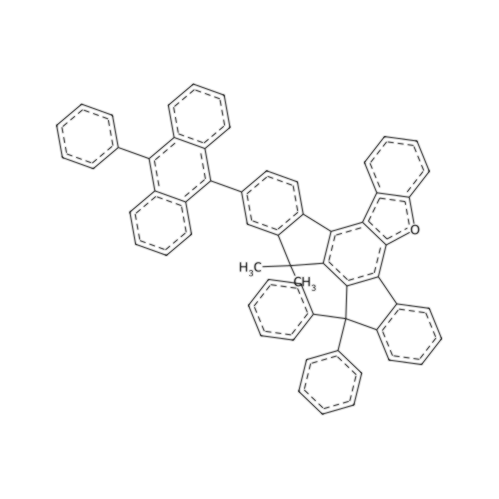 CC1(C)c2cc(-c3c4ccccc4c(-c4ccccc4)c4ccccc34)ccc2-c2c1c1c(c3oc4ccccc4c23)-c2ccccc2C1(c1ccccc1)c1ccccc1